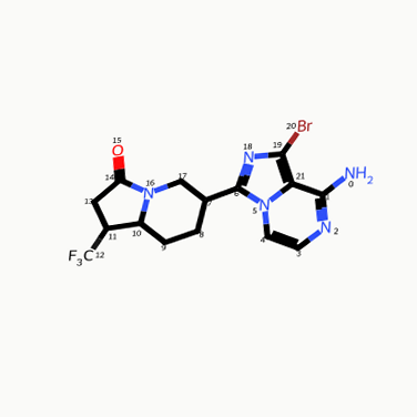 Nc1nccn2c(C3CCC4C(C(F)(F)F)CC(=O)N4C3)nc(Br)c12